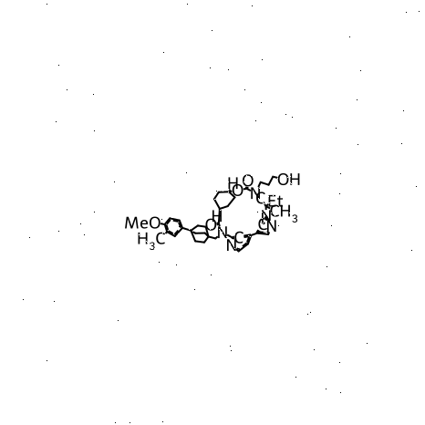 CCC1(C)CN(CCCO)C(=O)O[C@H]2CC[C@@H](CC2)C(=O)N(CC23CCC(c4ccc(OC)c(C)c4)(CC2)CC3)c2cc(ccn2)-c2cnn1c2